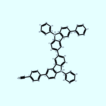 N#Cc1ccc(-c2ccc3c(c2)c2cc(-c4ccc5c(c4)c4cc(-c6ccccc6)ccc4n5-c4ccccc4)ccc2n3-c2ccccc2)cc1